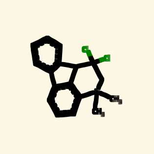 C[Si]1(C)CC(Cl)(Cl)C2c3ccccc3-c3cccc1c32